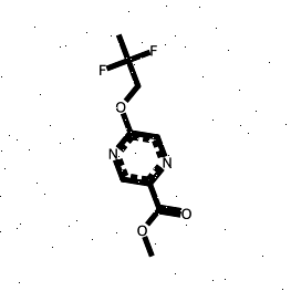 COC(=O)c1cnc(OCC(C)(F)F)cn1